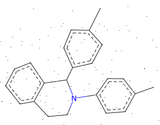 Cc1ccc(C2c3ccccc3CCN2c2ccc(C)cc2)cc1